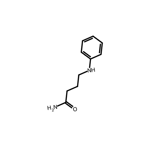 NC(=O)CCCNc1ccccc1